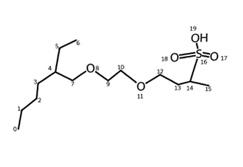 CCCCC(CC)COCCOCCC(C)S(=O)(=O)O